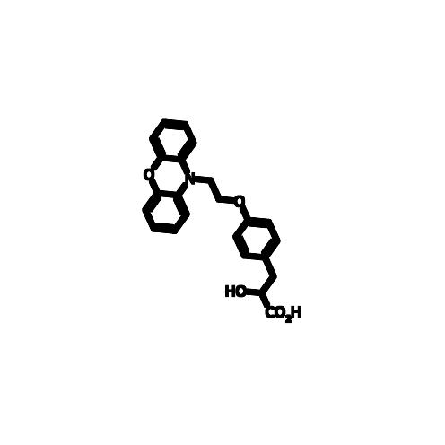 O=C(O)C(O)Cc1ccc(OCCN2c3ccccc3Oc3ccccc32)cc1